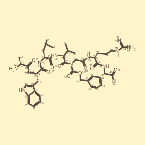 CC(C)C[C@H](NC(=O)[C@H](Cc1c[nH]c2ccccc12)NC(=O)[C@H](C)N)C(=O)N[C@H](C(=O)N(CC(=O)N[C@@H](CCCNC(=N)N)C(=O)NCC(=O)O)C(=O)OCc1ccccc1)C(C)C